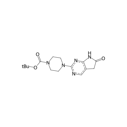 CC(C)(C)OC(=O)N1CCN(c2ncc3c(n2)NC(=O)C3)CC1